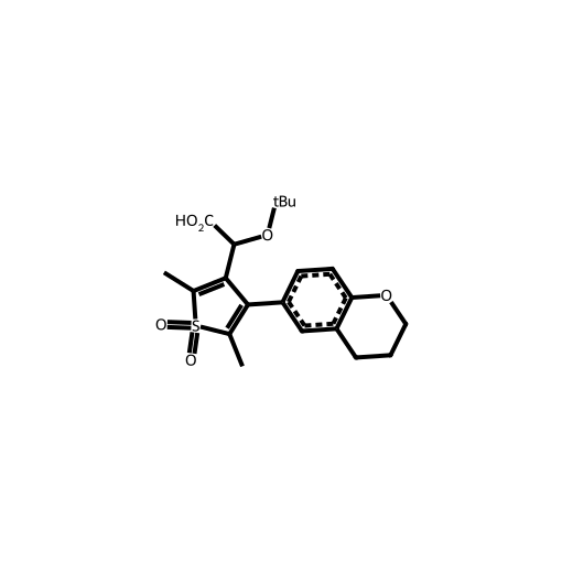 CC1=C(c2ccc3c(c2)CCCO3)C(C(OC(C)(C)C)C(=O)O)=C(C)S1(=O)=O